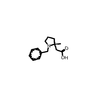 CC1(CC(=O)O)CCCN1Cc1ccccc1